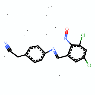 N#CCc1ccc(/N=C/c2cc(Cl)cc(Cl)c2N=O)cc1